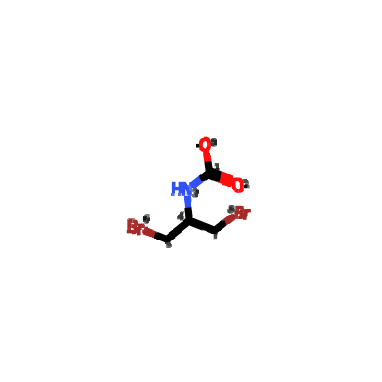 [O]C(=O)NC(CBr)CBr